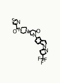 O=C(c1cscn1)N1CCN([C@@H]2CC(=O)N(c3ccc4c(ccn4-c4ccc(C(F)(F)F)cn4)c3)C2)CC1